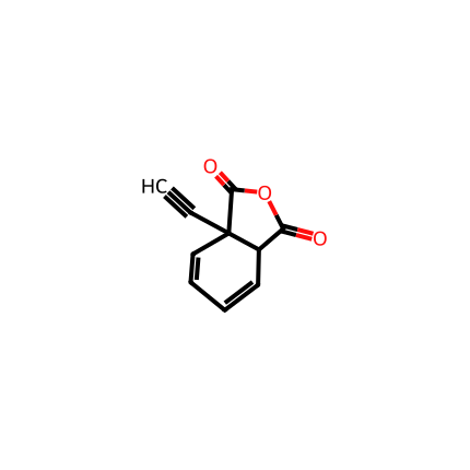 C#CC12C=CC=CC1C(=O)OC2=O